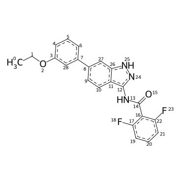 CCOc1cccc(-c2ccc3c(NC(=O)c4c(F)cccc4F)n[nH]c3c2)c1